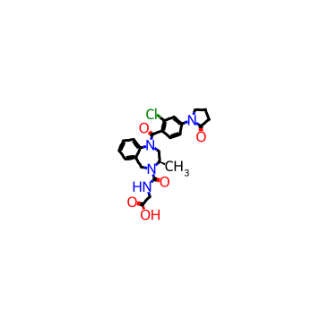 C[C@@H]1CN(C(=O)c2ccc(N3CCCC3=O)cc2Cl)c2ccccc2CN1C(=O)NCC(=O)O